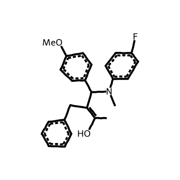 COc1ccc(C(/C(Cc2ccccc2)=C(\C)O)N(C)c2ccc(F)cc2)cc1